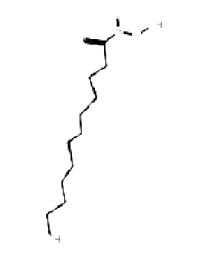 CCCCCCCCCCCC(=O)N(C)OC